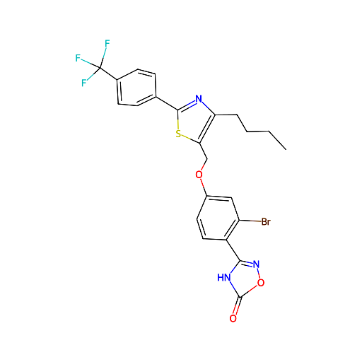 CCCCc1nc(-c2ccc(C(F)(F)F)cc2)sc1COc1ccc(-c2noc(=O)[nH]2)c(Br)c1